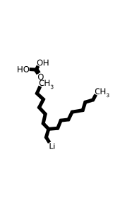 O=C(O)O.[Li][CH2]C(CCCCCC)CCCCCCCC